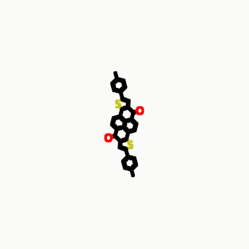 Cc1ccc(-c2cc3c(s2)-c2ccc4c5c(ccc(c25)C3=O)-c2sc(-c3ccc(C)cc3)cc2C4=O)cc1